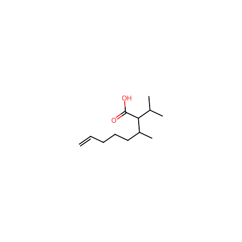 C=CCCCC(C)C(C(=O)O)C(C)C